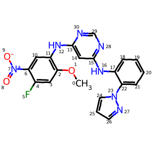 COc1cc(F)c([N+](=O)[O-])cc1Nc1cc(Nc2ccccc2-n2cccn2)ncn1